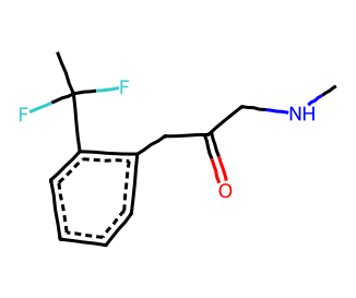 CNCC(=O)Cc1ccccc1C(C)(F)F